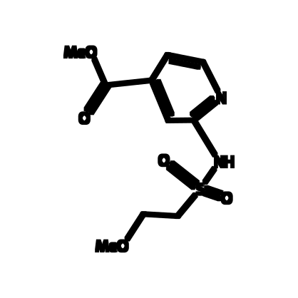 COCCS(=O)(=O)Nc1cc(C(=O)OC)ccn1